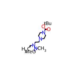 C=CN(CCN1CCN(C(=O)OC(C)(C)C)CC1)N(C)OC